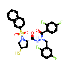 O=C(NN(Cc1cc(F)ccc1F)C(=O)c1ccc(F)cc1F)[C@@H]1C[C@@H](S)CN1S(=O)(=O)c1ccc2ccccc2c1